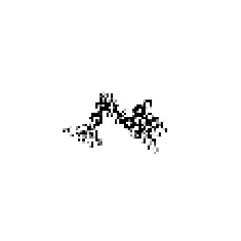 CCOC(=O)[C@@H](OC(C)(C)C)c1c(C)cc2nc(-c3cnc4c(n3)c(C3=CCN(C(=O)OC(C)(C)C)CC3)nn4C)sc2c1-c1ccc(Cl)cc1